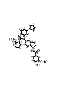 Cc1cc(-n2cccn2)nc2c1nc(-c1cccnc1N)n2-c1ccc2c(c1)CC[C@@H]2NC(=O)c1ccc(O)c(C=O)c1